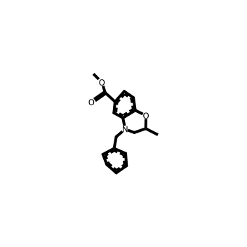 COC(=O)c1ccc2c(c1)N(Cc1ccccc1)CC(C)O2